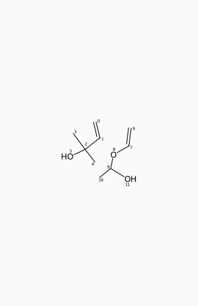 C=CC(C)(C)O.C=COC(C)O